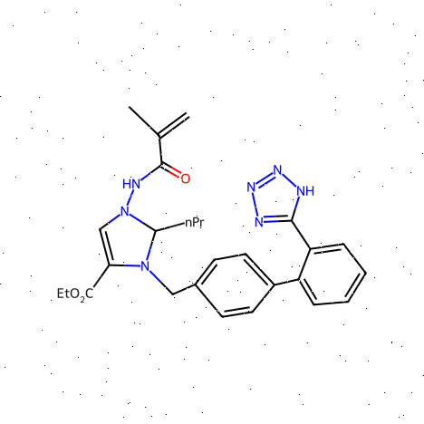 C=C(C)C(=O)NN1C=C(C(=O)OCC)N(Cc2ccc(-c3ccccc3-c3nnn[nH]3)cc2)C1CCC